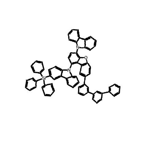 c1ccc(-c2cccc(-c3cccc(-c4ccc5oc6c(-n7c8ccccc8c8ccccc87)ccc(-n7c8ccccc8c8cc([Si](c9ccccc9)(c9ccccc9)c9ccccc9)ccc87)c6c5c4)c3)c2)cc1